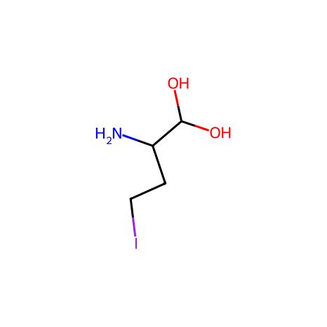 NC(CCI)C(O)O